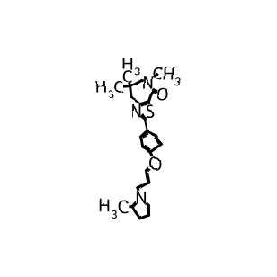 CC1CCCN1CCCOc1ccc(-c2nc3c(s2)C(=O)N(C)CC(C)(C)C3)cc1